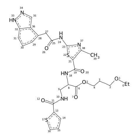 CCOCCCOC(=O)C(CNC(=O)c1cccs1)NC(=O)c1sc(NC(=O)Cc2cccc3[nH]ncc23)nc1C